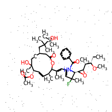 CC[C@H](OC)[C@@H](C)[C@H]1O[C@@H]1C(NC(=O)c1ccccc1)C(C)(F)/C=C/C=C(\C)C1OC(=O)C[C@H](CC(C)(C)[Si](C)(C)O)CC[C@@](C)(O)[C@@H](OC(C)=O)/C=C/[C@@H]1C